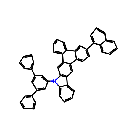 c1ccc(-c2cc(-c3ccccc3)cc(-n3c4ccccc4c4cc5c6ccc(-c7cccc8ccccc78)cc6c6ccccc6c5cc43)c2)cc1